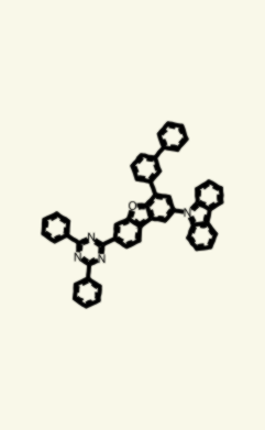 c1ccc(-c2cccc(-c3cc(-n4c5ccccc5c5ccccc54)cc4c3oc3cc(-c5nc(-c6ccccc6)nc(-c6ccccc6)n5)ccc34)c2)cc1